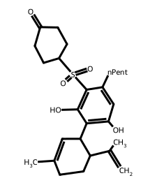 C=C(C)C1CCC(C)=CC1c1c(O)cc(CCCCC)c(S(=O)(=O)C2CCC(=O)CC2)c1O